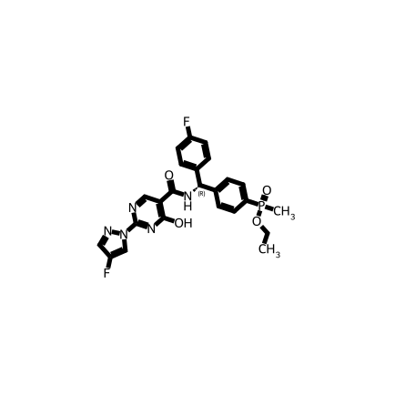 CCOP(C)(=O)c1ccc([C@H](NC(=O)c2cnc(-n3cc(F)cn3)nc2O)c2ccc(F)cc2)cc1